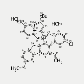 C=Cc1ccc2c(c1)-c1cc(C=C)c[c]([Zr](=[CH]c3ccc(Cl)cc3)(=[CH]c3ccc(Cl)cc3)[C]3=CC(C(C)(C)C)=CC3)c1C2.Cl.Cl